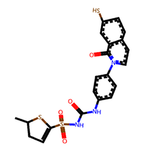 CC1CC=C(S(=O)(=O)NC(=O)Nc2ccc(-n3ccc4ccc(S)cc4c3=O)cc2)S1